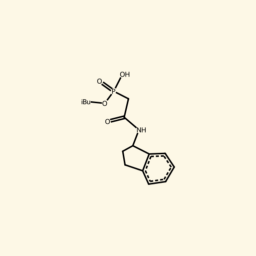 CCC(C)OP(=O)(O)CC(=O)NC1CCc2ccccc21